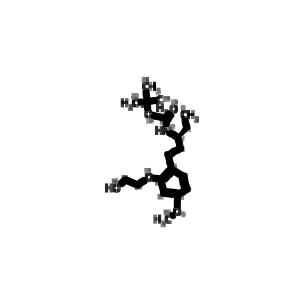 CC[C@@H](CCc1ccc(OC)cc1OCCO)NC(=O)OC(C)(C)C